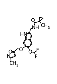 Cc1cc(COc2cc3[nH]c(CNC(=O)C4(C)CC4)cc3cc2OC(F)F)on1